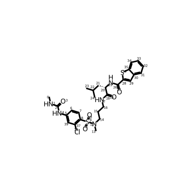 CNC(=O)Nc1ccc(S(=O)(=O)N(C)CCCNC(=O)[C@H](CC(C)C)NC(=O)c2cc3ccccc3s2)c(Cl)c1